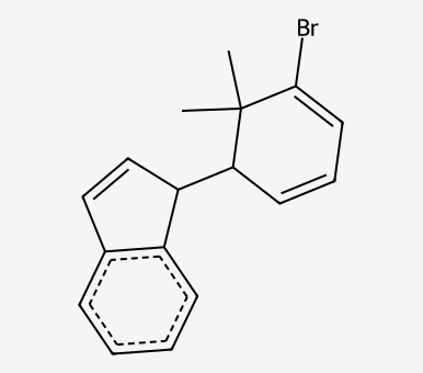 CC1(C)C(Br)=CC=CC1C1C=Cc2ccccc21